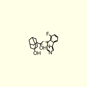 O[C@H](C[C@@H]1c2c(F)cccc2-c2cncn21)C12CC3CC(CC(O)(C3)C1)C2